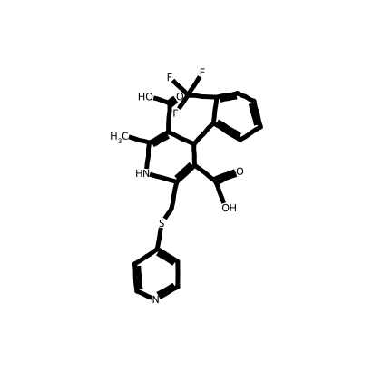 CC1=C(C(=O)O)C(c2ccccc2C(F)(F)F)C(C(=O)O)=C(CSc2ccncc2)N1